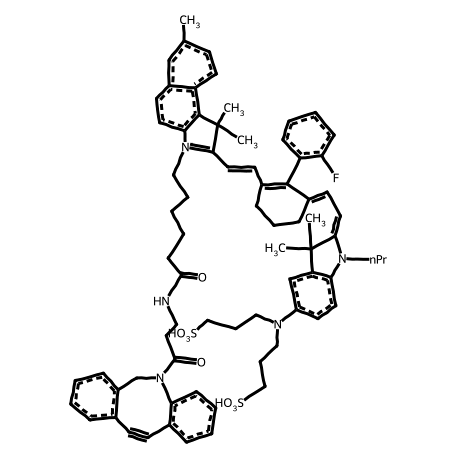 CCCN1/C(=C/C=C2\CCCC(/C=C/C3=[N+](CCCCCC(=O)NCCC(=O)N4Cc5ccccc5C#Cc5ccccc54)c4ccc5cc(C)ccc5c4C3(C)C)=C2c2ccccc2F)C(C)(C)c2cc(N(CCCS(=O)(=O)O)CCCS(=O)(=O)O)ccc21